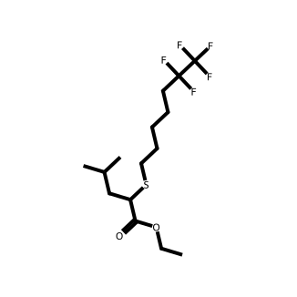 CCOC(=O)C(CC(C)C)SCCCCCC(F)(F)C(F)(F)F